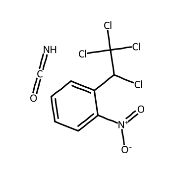 N=C=O.O=[N+]([O-])c1ccccc1C(Cl)C(Cl)(Cl)Cl